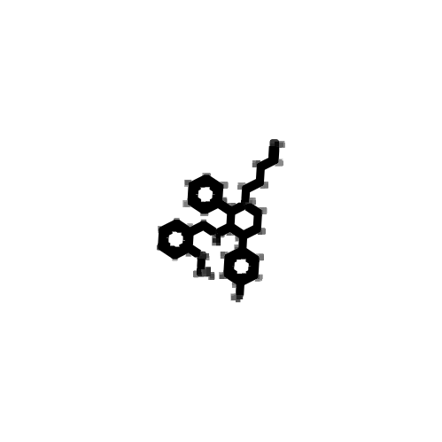 COc1ccccc1CNC1C(c2ccc(F)cc2)CCN(CCCC=O)C1c1ccccc1